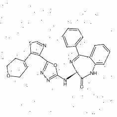 O=C1Nc2ccccc2C(c2ccccc2)=N[C@@H]1Nc1nnc(-c2ncsc2C2=CCOCC2)o1